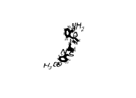 COc1ccc(-c2nc(Cn3nccc3-c3ccccc3C(N)=O)cs2)cc1